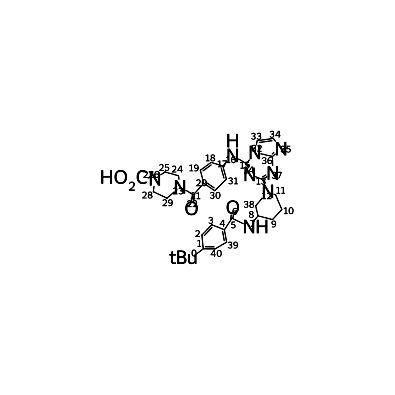 CC(C)(C)c1ccc(C(=O)NC2CCCN(c3nc(Nc4ccc(C(=O)N5CCN(C(=O)O)CC5)cc4)n4ccnc4n3)C2)cc1